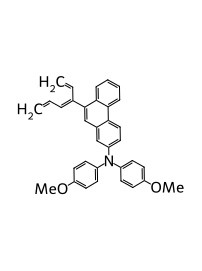 C=C/C=C(\C=C)c1cc2cc(N(c3ccc(OC)cc3)c3ccc(OC)cc3)ccc2c2ccccc12